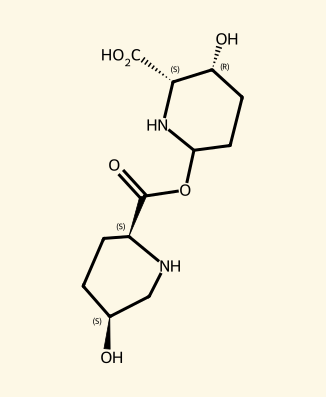 O=C(OC1CC[C@@H](O)[C@@H](C(=O)O)N1)[C@@H]1CC[C@H](O)CN1